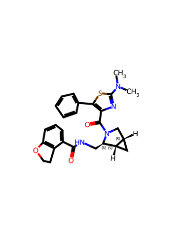 CN(C)c1nc(C(=O)N2C[C@@H]3C[C@@H]3[C@H]2CNC(=O)c2cccc3c2CCO3)c(-c2ccccc2)s1